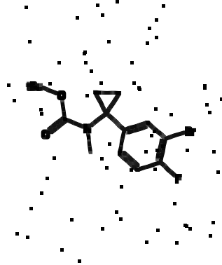 CN(C(=O)OC(C)(C)C)C1(c2ccc(F)c(Br)c2)CC1